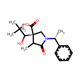 CC1C(=O)N([C@H](C)c2ccccc2)C[C@]1(C(=O)O)C(O)C(C)(C)C